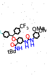 COc1ccc(NC(=O)Nc2ccc(OC(c3ccc(F)cc3)c3ccc(C(F)(F)F)cc3)c(C(=O)NC(C)(C)C)c2)cc1OC